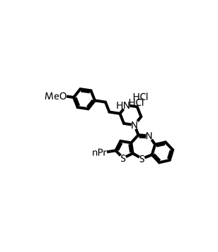 CCCc1cc2c(s1)Sc1ccccc1N=C2N1CCNC(CCc2ccc(OC)cc2)C1.Cl.Cl